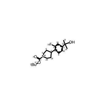 CC(C)(C)OC(=O)N1CCC(c2ccc(C(C)(C)O)cc2F)CC1